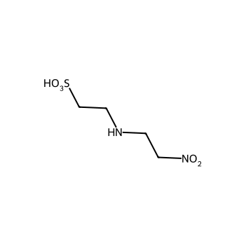 O=[N+]([O-])CCNCCS(=O)(=O)O